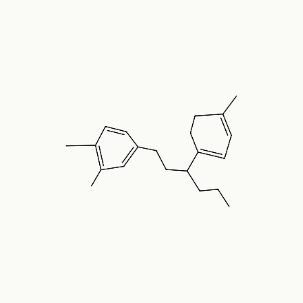 CCCC(CCc1ccc(C)c(C)c1)C1=CC=C(C)CC1